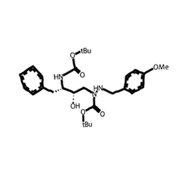 COc1ccc(CNN(C[C@H](O)[C@H](Cc2ccccc2)NC(=O)OC(C)(C)C)C(=O)OC(C)(C)C)cc1